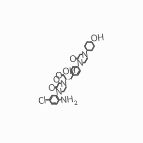 Nc1ccc(Cl)cc1N1CCN([C@@H](Cc2ccc(N3CCN(C4CCC(O)CC4)CC3=O)cc2)C(=O)O)C(=O)C1=O